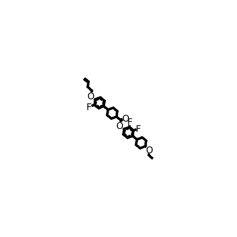 C=CCCOc1ccc(C2CCC(C(=O)Oc3ccc(C4CCC(OCC)CC4)c(F)c3F)CC2)cc1F